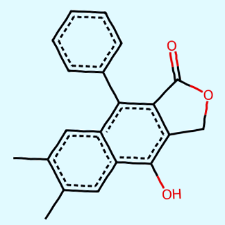 Cc1cc2c(O)c3c(c(-c4ccccc4)c2cc1C)C(=O)OC3